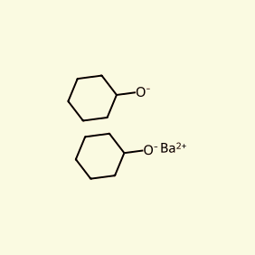 [Ba+2].[O-]C1CCCCC1.[O-]C1CCCCC1